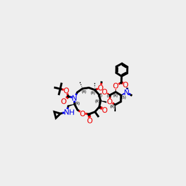 CO[C@]1(C)C[C@@H](C)CN(C(=O)OC(C)(C)C)[C@H](CNC2CC2)COC(=O)C(C)C(=O)[C@H](C)[C@H]1O[C@@H]1O[C@H](C)C[C@H](N(C)C)[C@H]1OC(=O)c1ccccc1